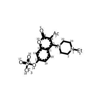 CCN1CCN(c2c(C(C)=O)c(=O)oc3cc(OS(=O)(=O)C(F)(F)F)ccc23)CC1